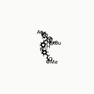 COC(=O)CCc1ccc(Oc2ccc(C[C@H](NC(=O)OC(C)(C)C)C(=O)N3CCN(C(C)=O)CC3)cc2)cc1